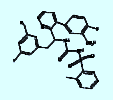 Cc1ccccc1S(=O)(=O)NC(=O)NC(Cc1cc(F)cc(F)c1)c1ncccc1-c1ccc(F)c(C(=O)O)c1